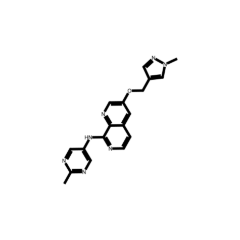 Cc1ncc(Nc2nccc3cc(OCc4cnn(C)c4)cnc23)cn1